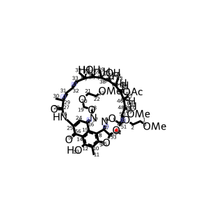 COCCOCO/N=C1/c2c3c(C)c(O)c4c2/C(=N/OCOCCOC)C=C(NC(=O)/C(C)=C\C=C\[C@H](C)[C@H](O)[C@@H](C)[C@@H](O)[C@@H](C)[C@H](OC(C)=O)[C@H](C)[C@@H](OC)/C=C/O[C@@]1(C)O3)C4=O